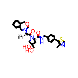 Cc1ncsc1-c1ccc(CNC(=O)[C@@H]2C[C@@](O)(CO)CN2C(=O)[C@H](C(C)C)N2COCc3ccccc3C2)cc1